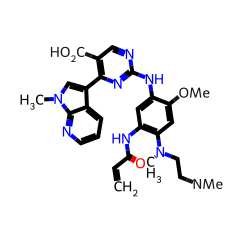 C=CC(=O)Nc1cc(Nc2ncc(C(=O)O)c(-c3cn(C)c4ncccc34)n2)c(OC)cc1N(C)CCNC